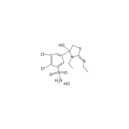 CCN=C1SCC(O)(c2cc(Cl)c(Cl)c(S(N)(=O)=O)c2)N1CC.Cl